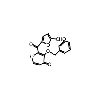 O=Cc1ccc(C(=O)c2occc(=O)c2OCc2ccccc2)o1